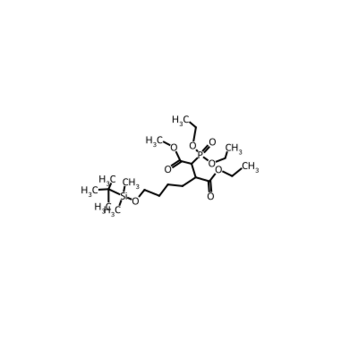 CCOC(=O)C(CCCCO[Si](C)(C)C(C)(C)C)C(C(=O)OC)P(=O)(OCC)OCC